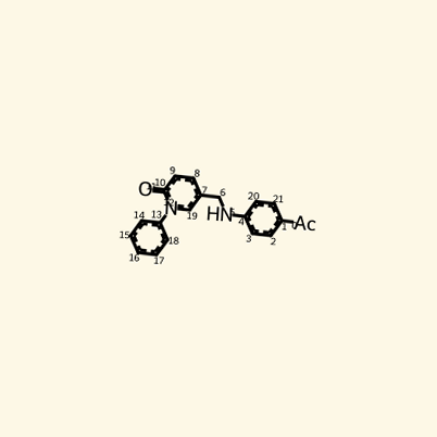 CC(=O)c1ccc(NCc2ccc(=O)n(-c3ccccc3)c2)cc1